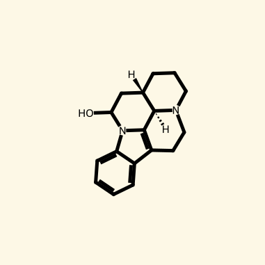 OC1C[C@@H]2CCCN3CCc4c(n1c1ccccc41)[C@@H]23